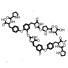 CC(NC(=O)C1CCCN1)C(=O)O.COC(=O)C(Cc1ccc(Oc2ccc(C=C3SC(=O)NC3=O)cc2F)cc1)NC(=O)C1CCCN1.O=C1NC(=O)C(Cc2ccc(Oc3ccc(CC(NC(=O)C4CCCN4)C(=O)O)cc3)c(F)c2)S1